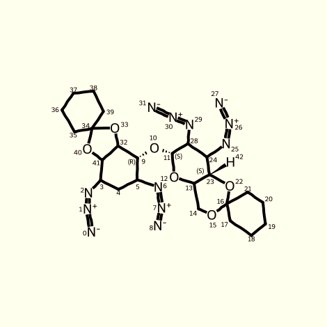 [N-]=[N+]=NC1CC(N=[N+]=[N-])[C@@H](O[C@H]2OC3COC4(CCCCC4)O[C@H]3C(N=[N+]=[N-])C2N=[N+]=[N-])C2OC3(CCCCC3)OC12